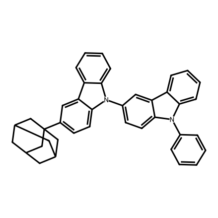 c1ccc(-n2c3ccccc3c3cc(-n4c5ccccc5c5cc(C67CC8CC(CC(C8)C6)C7)ccc54)ccc32)cc1